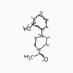 CC(=O)N1CCN(c2ccccc2O)CC1